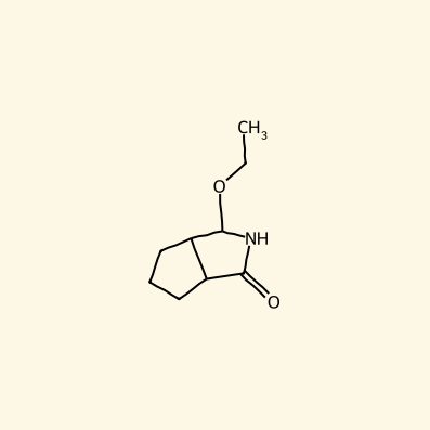 CCOC1NC(=O)C2CCCC12